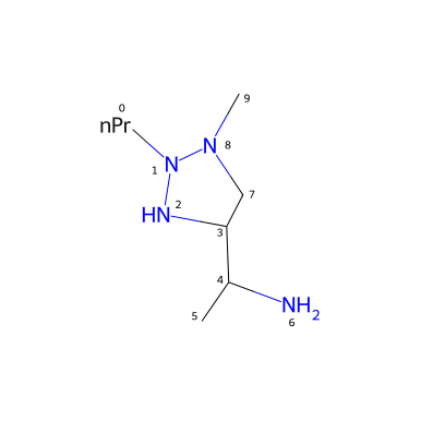 CCCN1NC(C(C)N)CN1C